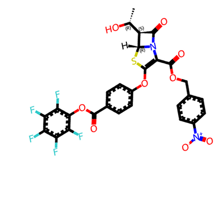 C[C@@H](O)[C@H]1C(=O)N2C(C(=O)OCc3ccc([N+](=O)[O-])cc3)=C(Oc3ccc(C(=O)Oc4c(F)c(F)c(F)c(F)c4F)cc3)S[C@H]12